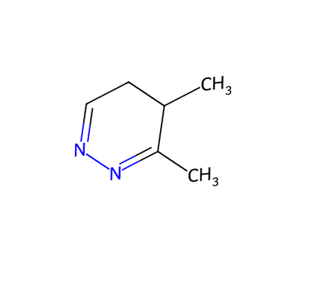 CC1=NN=CCC1C